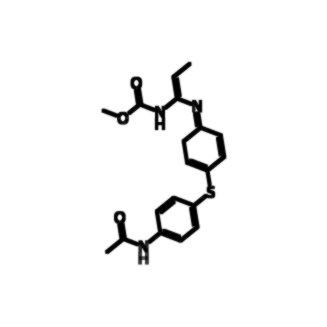 C/C=C(\N=C1\C=CC(Sc2ccc(NC(C)=O)cc2)=CC1)NC(=O)OC